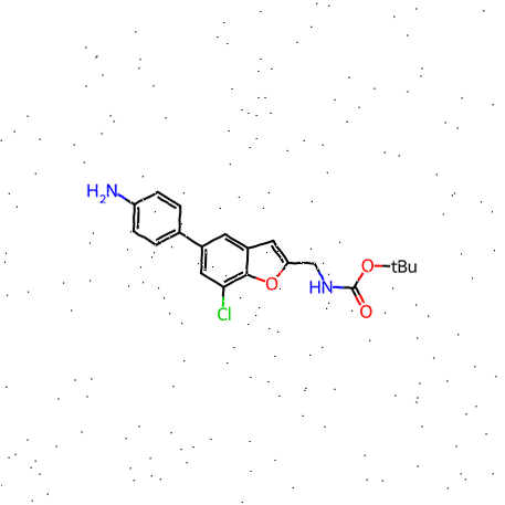 CC(C)(C)OC(=O)NCc1cc2cc(-c3ccc(N)cc3)cc(Cl)c2o1